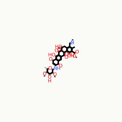 C/N=C/c1c(C)c(C(=O)OC)c(O)c2c1C[C@@H](O)[C@@]1(OC)C(=O)c3c(cc4c(c3O)C(=O)C=C(NC3O[C@@H](C)[C@H](OC)[C@@H](O)[C@H]3OC)C4=O)C(=O)[C@@]21O